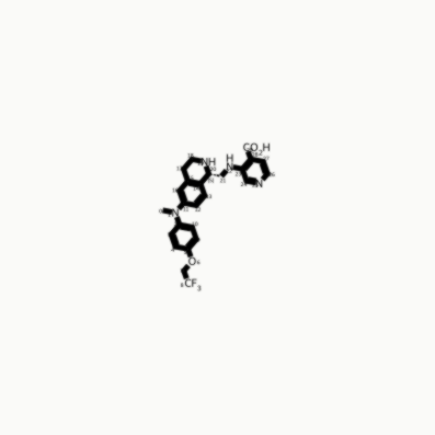 CN(c1ccc(OCC(F)(F)F)cc1)c1ccc2c(c1)CCN[C@@H]2CNc1cnccc1C(=O)O